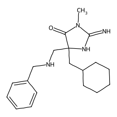 CN1C(=N)NC(CNCc2ccccc2)(CC2CCCCC2)C1=O